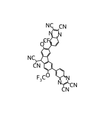 N#Cc1nc2ccc(-c3cc4c(cc3OC(F)(F)F)C(C(C#N)C#N)c3cc(OC(F)(F)F)c(-c5ccc6nc(C#N)c(C#N)nc6c5)cc3-4)cc2nc1C#N